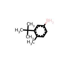 Bc1ccc(C)c(C(C)(C)C)c1